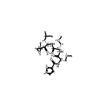 COC[C@H](NC(=O)c1ccno1)C(=O)N[C@@H](COC)C(=O)N[C@@H](CC(C)C)C(=O)[C@@]1(C)CO1